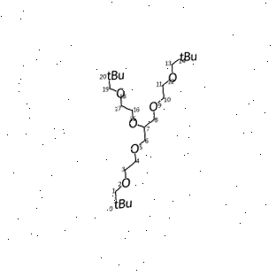 CC(C)(C)COCCOCC(COCCOCC(C)(C)C)OCCOCC(C)(C)C